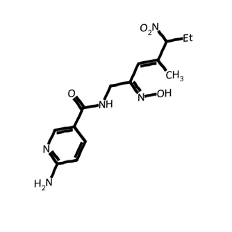 CCC(C(C)=CC(CNC(=O)c1ccc(N)nc1)=NO)[N+](=O)[O-]